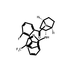 O=C(c1cccc(F)c1-c1ncccn1)N1[C@@H]2CC[C@H]1[C@H](Nc1ncc(C(F)(F)F)cn1)C2